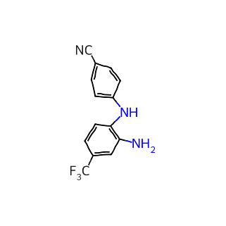 N#Cc1ccc(Nc2ccc(C(F)(F)F)cc2N)cc1